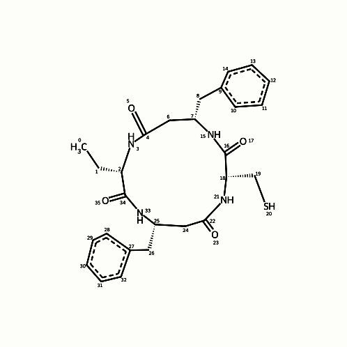 CC[C@@H]1NC(=O)C[C@H](Cc2ccccc2)NC(=O)[C@H](CS)NC(=O)C[C@H](Cc2ccccc2)NC1=O